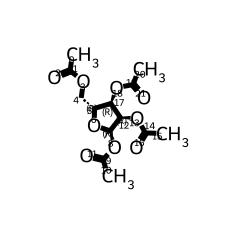 CC(=O)OC[C@H]1O[C@H](OC(C)=O)[C@H](OC(C)=O)[C@@H]1OC(C)=O